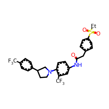 CCS(=O)(=O)c1ccc(CC(=O)Nc2ccc(N3CCC(c4ccc(C(F)(F)F)cc4)C3)c(C(F)(F)F)c2)cc1